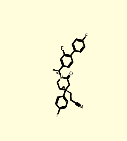 C[C@@H](c1ccc(-c2ccc(F)cc2)c(F)c1)N1CC[C@@](CCC#N)(c2ccc(F)cc2)CC1=O